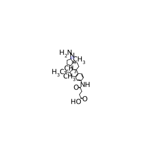 CC(C)(C)C1Cc2cc(NC(=O)CCC(=O)O)ccc2C2CC[C@]3(C)/C(=N/N)CCC3C21